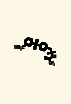 CC(C)(Cc1ccc(S(=O)(=O)c2cccc(C(=O)O)c2)cc1)NC(=O)C(F)(F)F